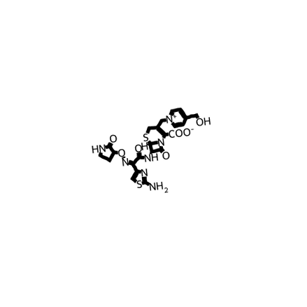 Nc1nc(/C(=N/OC2CCNC2=O)C(=O)N[C@@H]2C(=O)N3C(C(=O)[O-])=C(C[n+]4ccc(CO)cc4)CS[C@@H]23)cs1